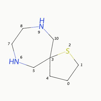 C1CSC2(C1)CNCCNC2